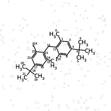 Cc1cc(C(C)(C)C)cc(I)c1Cc1c(C)cc(C(C)(C)C)cc1I